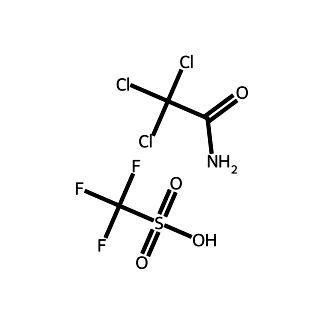 NC(=O)C(Cl)(Cl)Cl.O=S(=O)(O)C(F)(F)F